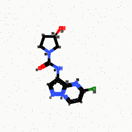 O=C(Nc1cnn2ccc(Cl)nc12)N1CC[C@H](O)C1